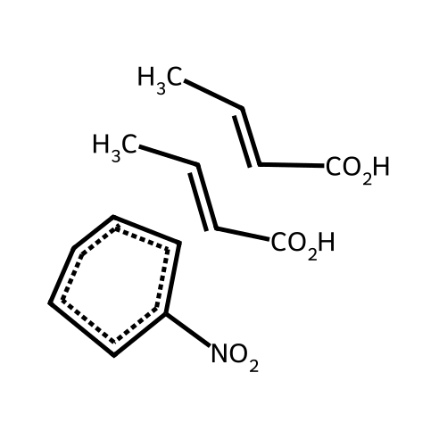 C/C=C/C(=O)O.C/C=C/C(=O)O.O=[N+]([O-])c1ccccc1